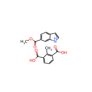 COC(=O)c1ccc2cc[nH]c2c1.Cc1c(C(=O)O)cccc1C(=O)O